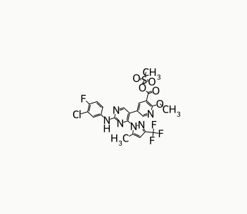 COc1ncc(-c2cnc(Nc3ccc(F)c(Cl)c3)nc2-n2nc(C(F)(F)F)cc2C)cc1C(=O)OS(C)(=O)=O